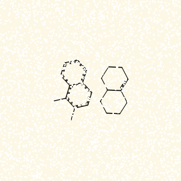 C1=C2CCCCC2CCC1.Cc1ccc2ccccc2c1C